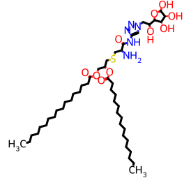 CCCCCCCCCCCCCCCCC(=O)OCC(CSCC(N)C(=O)Nc1cn(CC(O)C2OC(O)[C@@H](O)[C@@H]2O)nn1)OC(=O)CCCCCCCCCCCCCCCC